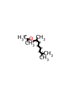 CC(C)CCCCC(C)COC(C)C